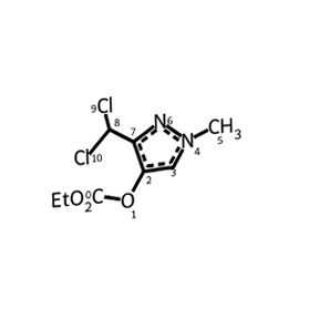 CCOC(=O)Oc1cn(C)nc1C(Cl)Cl